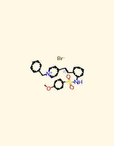 COc1ccc(S(=O)(=O)Nc2ccccc2/C=C/c2cc[n+](Cc3ccccc3)cc2)cc1.[Br-]